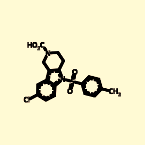 Cc1ccc(S(=O)(=O)n2c3c(c4cc(Cl)ccc42)CN(C(=O)O)CC3)cc1